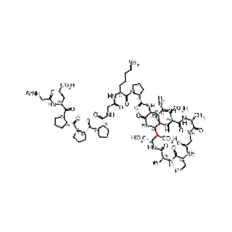 CC(=O)NCC(=O)N[C@@H](CCC(=O)O)C(=O)N1CCC[C@H]1C(=O)N1CCC[C@H]1C(=O)N1CCC[C@H]1C(=O)NCC(=O)N[C@@H](CCCCN)C(=O)N1CCC[C@H]1C(=O)N[C@@H](C)C(=O)N[C@@H](CC(=O)O)C(=O)N[C@@H](CC(=O)O)C(=O)N[C@@H](C)C(=O)NCC(=O)N[C@@H](CC(C)C)C(=O)N[C@H](C(=O)N[C@@H](CCCNC(=N)N)C(=O)O)C(C)C